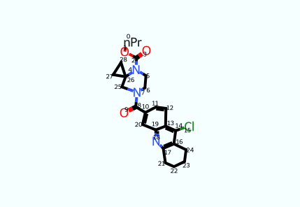 CCCOC(=O)N1CCN(C(=O)c2ccc3c(Cl)c4c(nc3c2)CCCC4)CC12CC2